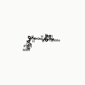 CN[C@@H](C)C(=O)N[C@H](C(=O)N1CCC[C@H]1c1cncc(-n2cc(C(=O)NCCCOCCOCNC(=O)c3cn(-c4cncc([C@@H]5CCCN5C(=O)[C@@H](NC(=O)[C@H](C)NC)C(C)C)c4)c4ccccc34)c3ccccc32)c1)C(C)C